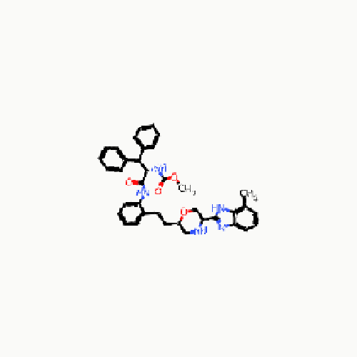 COC(=O)N[C@H](C(=O)Nc1ccccc1CC[C@@H]1CN[C@H](c2nc3cccc(C)c3[nH]2)CO1)C(c1ccccc1)c1ccccc1